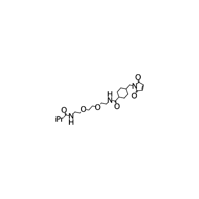 CC(C)C(=O)NCCOCCOCCNC(=O)C1CCC(CN2C(=O)C=CC2=O)CC1